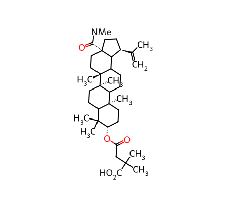 C=C(C)[C@@H]1CC[C@]2(C(=O)NC)CC[C@]3(C)C(CCC4[C@@]5(C)CC[C@H](OC(=O)CC(C)(C)C(=O)O)C(C)(C)C5CC[C@]43C)C12